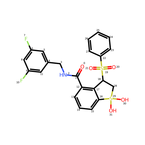 O=C(NCc1cc(F)cc(F)c1)c1cccc2c1C(S(=O)(=O)c1ccccc1)CS2(O)O